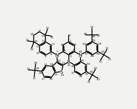 Cc1cc2c3c(c1)N(c1ccc4c(c1)C(C)(C)CCC4(C)C)c1c(sc4ccc(C(C)(C)C)cc14)B3c1ccc(C(C)(C)C)cc1N2c1cc(C(C)(C)C)cc(C(C)(C)C)c1